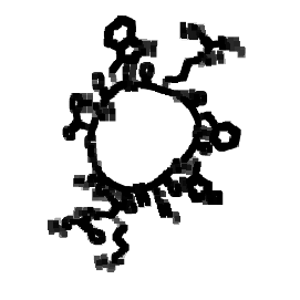 CCCC[C@H](NC(C)=O)C(=O)N[C@@H]1C(=O)N[C@H](C)C(=O)N[C@@H](Cc2c[nH]cn2)C(=O)N[C@H](Cc2ccccc2)C(=O)N[C@@H](CCCNC(=N)N)C(=O)N[C@@H](Cc2c[nH]c3ccccc23)C(=O)N[C@H](C(=O)O)CSSC1(C)C